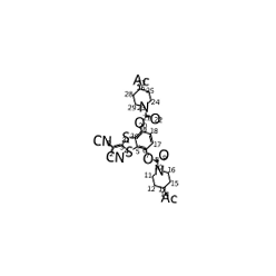 [C-]#[N+]C(C#N)=C1Sc2c(OC(=O)N3CCC(C(C)=O)CC3)ccc(OC(=O)N3CCC(C(C)=O)CC3)c2S1